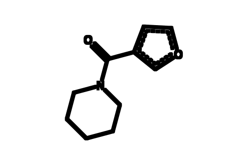 O=C(c1ccoc1)N1CCCCC1